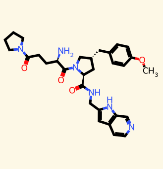 COc1ccc(C[C@@H]2C[C@@H](C(=O)NCc3cc4ccncc4[nH]3)N(C(=O)[C@H](N)CCC(=O)N3CCCC3)C2)cc1